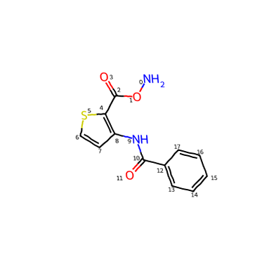 NOC(=O)c1sccc1NC(=O)c1ccccc1